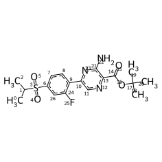 CC(C)S(=O)(=O)c1ccc(-c2cnc(C(=O)OC(C)(C)C)c(N)n2)c(F)c1